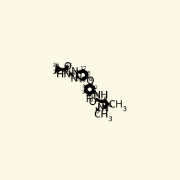 CCn1nc(C)cc1C(=O)Nc1cc(Oc2ccc3nc(NC(=O)C4CC4)nn3c2)ccc1F